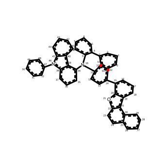 c1ccc(-c2ccccc2N(c2ccc(-c3cccc4c3oc3ccc5ccccc5c34)cc2)c2cccc3c2c2ccccc2n3-c2ccccc2)cc1